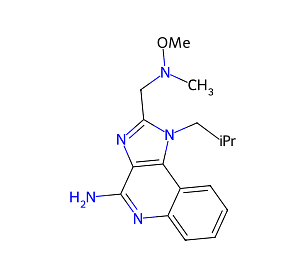 CON(C)Cc1nc2c(N)nc3ccccc3c2n1CC(C)C